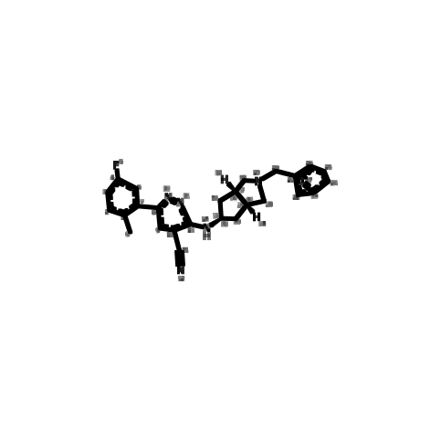 Cc1ccc(F)cc1-c1cc(C#N)c(N[C@H]2C[C@@H]3CN(Cc4cc5ccc4o5)C[C@@H]3C2)nn1